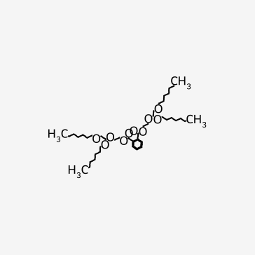 CCCCCCCOCC(OCCCCCCC)OCCOC(=O)c1ccccc1C(=O)OCCOC(COCCCCCCC)OCCCCCCC